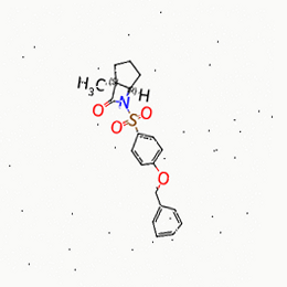 C[C@]12CCC[C@H]1N(S(=O)(=O)c1ccc(OCc3ccccc3)cc1)C2=O